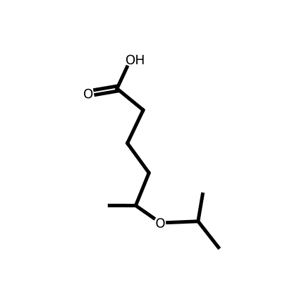 CC(C)OC(C)CCCC(=O)O